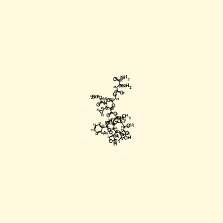 CC(=O)O[C@@]12CO[C@@H]1C[C@H](O)[C@@H]1C(=O)[C@H](O)C3=C(C)[C@@H](OC(=O)[C@H](OC(=O)COC(=O)C[C@H](N)C(N)=O)[C@@H](NC(=O)OC(C)(C)C)C4CC4)C[C@@](O)([C@@H](OC(=O)c4ccccc4)[C@@H]12)C3(C)C